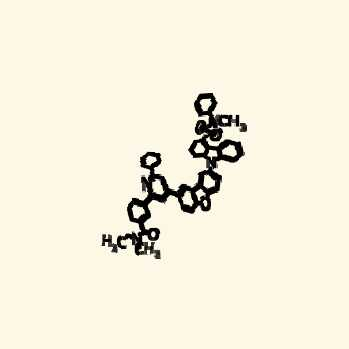 CCN(C)C(=O)c1cccc(-c2cc(-c3ccc4oc5ccc(-n6c7ccccc7c7c(S(=O)(=O)N(C)c8ccccc8)cccc76)cc5c4c3)cc(-c3ccccc3)n2)c1